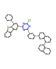 Clc1nc(-c2cccc(-c3ccc4cccc(-c5cccc6ccccc56)c4c3)c2)nc(-c2cc(-c3ccccc3)c3sc4ccccc4c3c2)n1